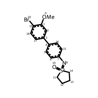 COc1cc(-c2ccc(N=S3(=O)CCCC3)cc2)ccc1Br